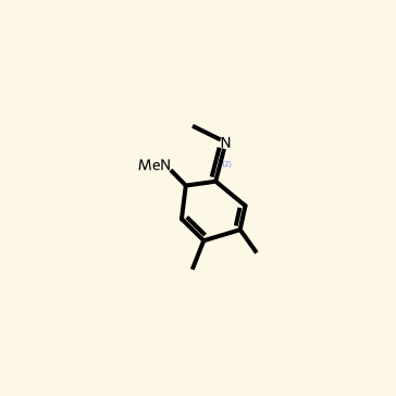 C/N=C1/C=C(C)C(C)=CC1NC